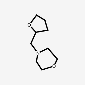 C1COC(CN2CCOCC2)C1